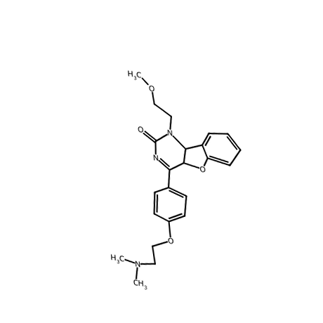 COCCN1C(=O)N=C(c2ccc(OCCN(C)C)cc2)C2Oc3ccccc3C21